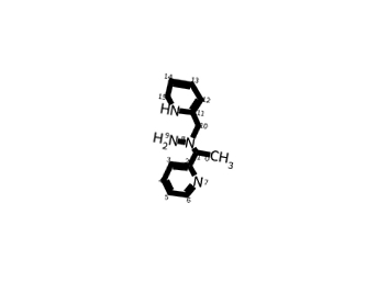 CC(c1ccccn1)N(N)CC1=CC=CCN1